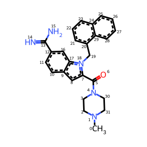 CN1CCN(C(=O)c2cc3ccc(C(=N)N)cc3n2Cc2cccc3ccccc23)CC1